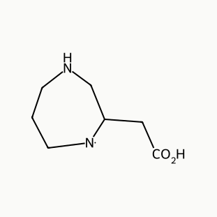 O=C(O)CC1CNCCC[N]1